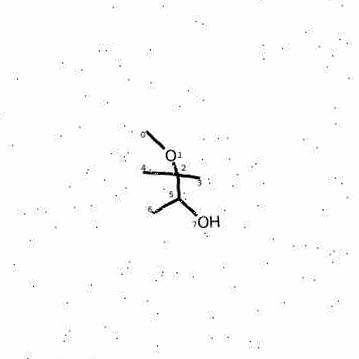 COC(C)(C)C(C)O